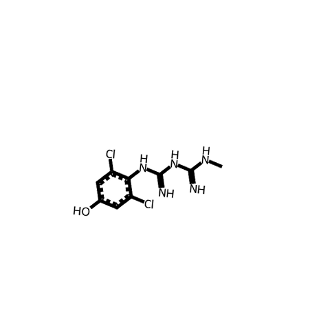 CNC(=N)NC(=N)Nc1c(Cl)cc(O)cc1Cl